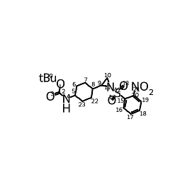 CC(C)(C)OC(=O)NC1CCC(C2CN2S(=O)(=O)c2ccccc2[N+](=O)[O-])CC1